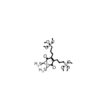 CO[Si](CCC/C(C(=O)O[SiH3])=C(\CCC[Si](OC)(OC)OC)C(=O)O[SiH3])(OC)OC